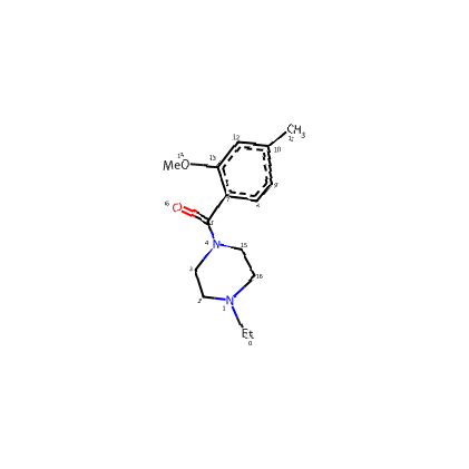 CCN1CCN(C(=O)c2ccc(C)cc2OC)CC1